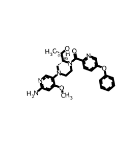 COc1cc(N)ncc1N1CCN(C(=O)c2ccc(Oc3ccccc3)cn2)[C@@H]([C@H](C)O)C1